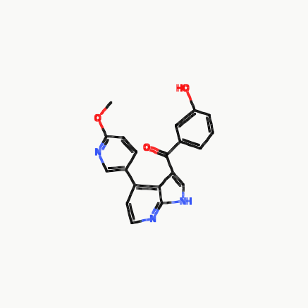 COc1ccc(-c2ccnc3[nH]cc(C(=O)c4cccc(O)c4)c23)cn1